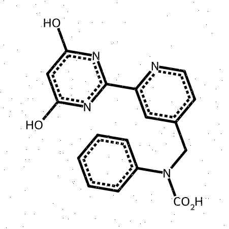 O=C(O)N(Cc1ccnc(-c2nc(O)cc(O)n2)c1)c1ccccc1